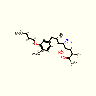 CNC(=O)[C@@H](C[C@H](O)[C@@H](N)C[C@H](Cc1ccc(OC)c(OCCCOC)c1)C(C)C)C(C)C